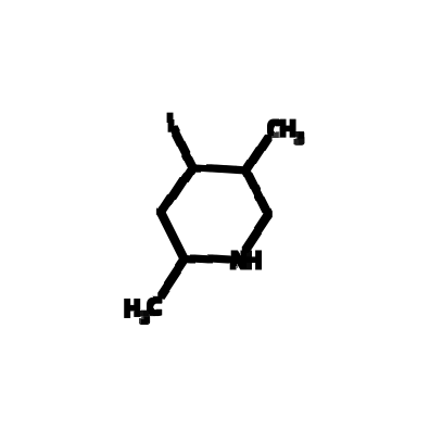 CC1CC(I)C(C)CN1